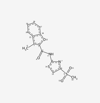 Cc1c(C(=O)Nc2nc(S(C)(=O)=O)cs2)oc2ccccc12